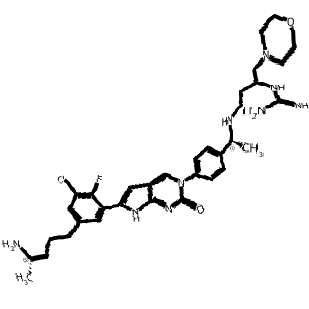 C[C@H](N)CCCc1cc(Cl)c(F)c(-c2cc3cn(-c4ccc([C@H](C)NCCC(CN5CCOCC5)NC(=N)N)cc4)c(=O)nc3[nH]2)c1